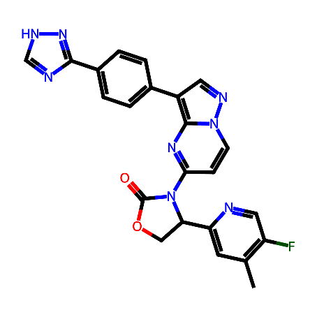 Cc1cc(C2COC(=O)N2c2ccn3ncc(-c4ccc(-c5nc[nH]n5)cc4)c3n2)ncc1F